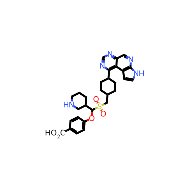 O=C(O)c1ccc(OC(C2CCCNC2)S(=O)(=O)CC2CCC(c3ncnc4cnc5[nH]ccc5c34)CC2)cc1